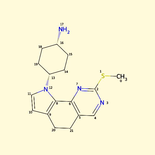 CSc1ncc2c(n1)-c1c(ccn1[C@H]1CC[C@@H](N)CC1)CC2